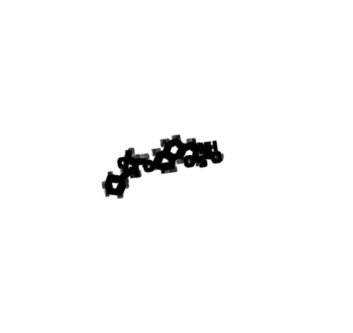 Cc1oc(-c2ccccc2)nc1COc1ccc2c(c1)CCC(C=C1NC(=O)SC1=O)=C2